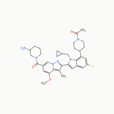 COc1cc(C(=O)N2CCCC(N)C2)cn2nc(-c3cc4cc(F)cc(C5CCN(C(C)=O)CC5)c4n3CC3CC3)c(C)c12